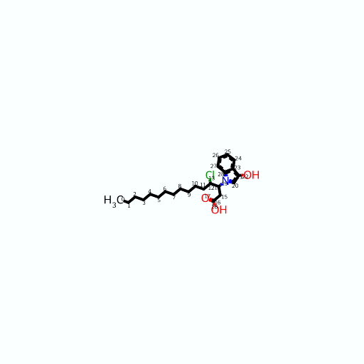 CCCCCCCCCCCCC(Cl)C(CC(=O)O)n1cc(O)c2ccccc21